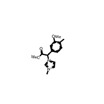 COC(=O)C(c1ccc(C)c(OC)c1)n1cc[n+](C)c1